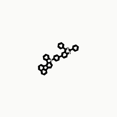 c1ccc(-c2nc(-c3ccccc3)c3cc(-c4ccc(-n5c6ccccc6c6c7c(ccc65)-c5cccc6cccc-7c56)cc4)ccc3n2)cc1